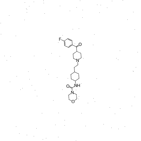 O=C(c1ccc(F)cc1)C1CCN(CCC2CCC(NC(=O)N3CCOCC3)CC2)CC1